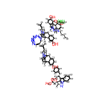 C1=CN=NN=NN=C1.CC(C)=CCN1CC[C@@]2(C)c3cc(O)ccc3C[C@@H]1[C@@H]2C.CC(C)=CCN1CC[C@@]2(C)c3cc(O)ccc3C[C@@H]1[C@@H]2C.CCCCCN[C@@]12C=CC(=O)[C@@H]3Oc4c(O)ccc5c4[C@@]31CCN(C)[C@@H]2C5.CC[C@@]1(CC(=O)O)OC[C@H](Cc2ccccc2)c2c1[nH]c1ccccc21.Cl.Cl